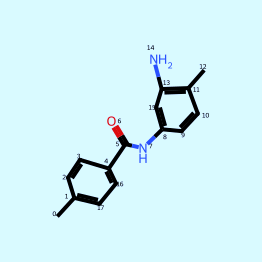 Cc1ccc(C(=O)Nc2ccc(C)c(N)c2)cc1